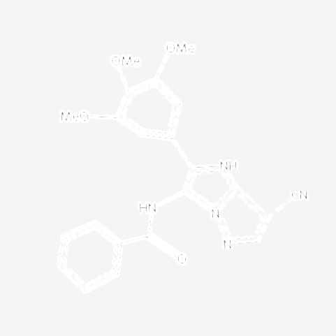 COc1cc(-c2[nH]c3c(C#N)cnn3c2NC(=O)c2ccccc2)cc(OC)c1OC